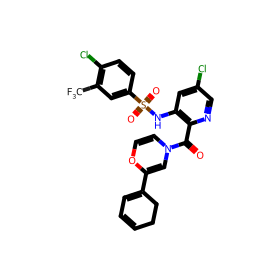 O=C(c1ncc(Cl)cc1NS(=O)(=O)c1ccc(Cl)c(C(F)(F)F)c1)N1C=COC(C2=CC=CCC2)=C1